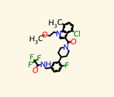 COCCn1cc(C(=O)N2CCC(c3cc(CNC(=O)C(F)(F)F)ccc3F)CC2)c2c(Cl)ccc(C)c21